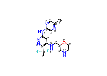 CC(F)(F)c1nnc(Nc2cnc(C#N)cn2)cc1NCC1CNCCO1